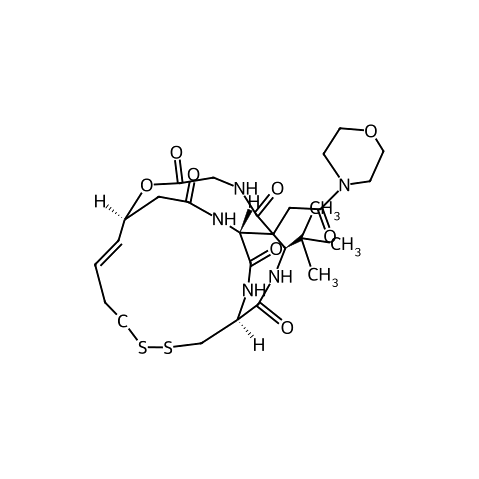 CC(C)(C)[C@H]1NC(=O)[C@H]2CSSCC/C=C/[C@H](CC(=O)N[C@H](CCC(=O)N3CCOCC3)C(=O)N2)OC(=O)CNC1=O